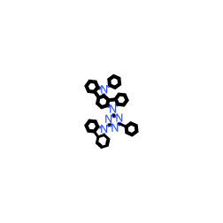 C1=CC2c3ccccc3N(c3nc(-c4ccccc4)nc(-n4c5ccccc5c5c4ccc4c6ccccc6n(-c6ccccc6)c45)n3)C2C=C1